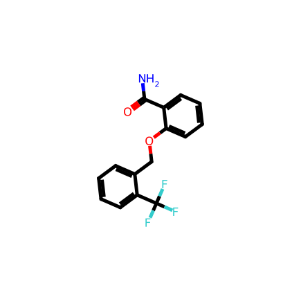 NC(=O)c1ccccc1OCc1ccccc1C(F)(F)F